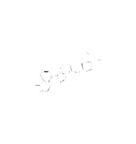 COc1ncc(NC(=O)c2cnn(-c3cccc4c(=O)[nH]ccc34)c2C(F)(F)F)cc1C#N